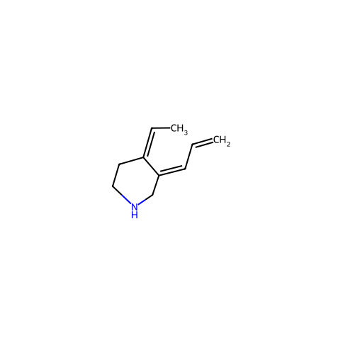 C=C/C=C1/CNCC/C1=C/C